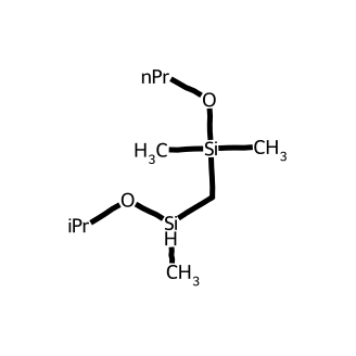 CCCO[Si](C)(C)C[SiH](C)OC(C)C